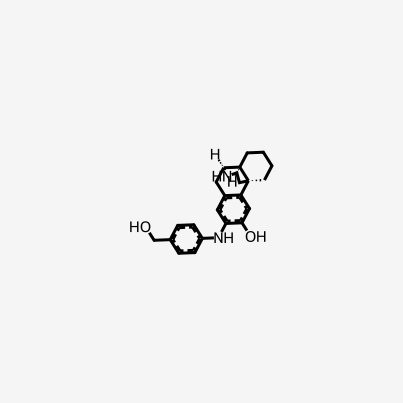 OCc1ccc(Nc2cc3c(cc2O)[C@]24CCCC[C@@H]2[C@H](C3)NCC4)cc1